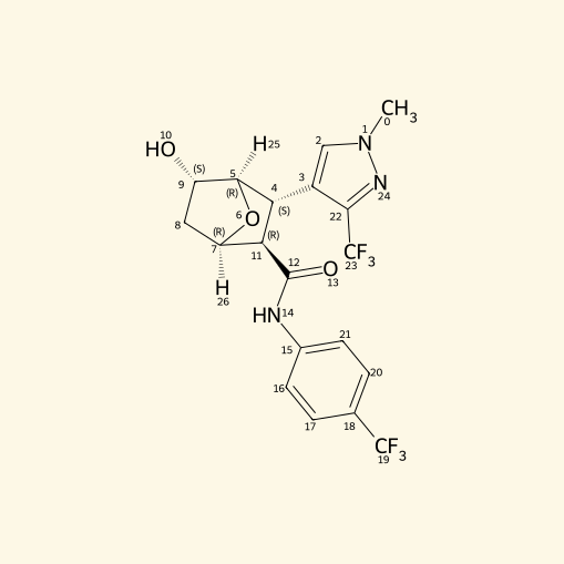 Cn1cc([C@H]2[C@H]3O[C@H](C[C@@H]3O)[C@@H]2C(=O)Nc2ccc(C(F)(F)F)cc2)c(C(F)(F)F)n1